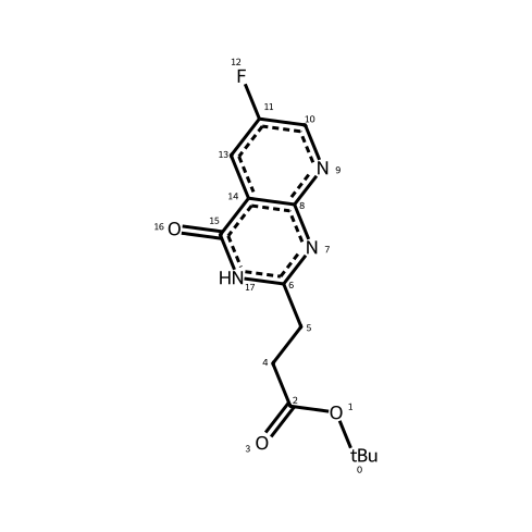 CC(C)(C)OC(=O)CCc1nc2ncc(F)cc2c(=O)[nH]1